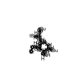 C[C@@H]1NC(=O)C(NC(=O)OC(C)(C)C)CNC(=O)[C@H](C2CCNC(=N)N2)NC(=O)/C(=C/NC(=O)Nc2cccc(-c3ccccc3)c2)NC(=O)[C@H](CNC(=O)CC(CCCNC(=O)OC(C)(C)C)NC(=O)OC(C)(C)C)NC1=O